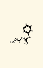 CC(C)OCOC(=O)Oc1ccccc1